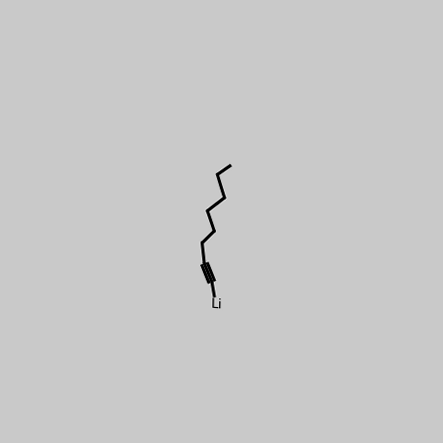 [Li][C]#CCCCCCC